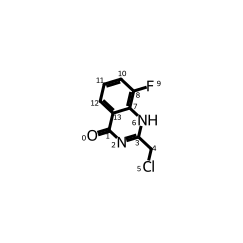 O=c1nc(CCl)[nH]c2c(F)cccc12